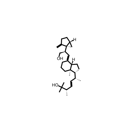 C=C1CC[C@@H]2C[C@]12[C@@H](/C=C1\CCC[C@]2(C)[C@@H]([C@H](C)/C=C/[C@H](C)C(C)(C)O)CC[C@@H]12)CO